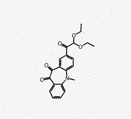 CCOC(OCC)C(=O)c1ccc2c(c1)c(=O)c(=O)c1ccccc1n2C